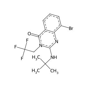 CC(C)(C)Nc1nc2c(Br)cccc2c(=O)n1CC(F)(F)F